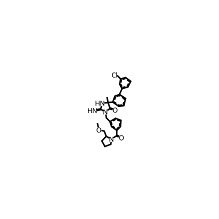 COCC1CCCN1C(=O)c1cccc(CN2C(=N)NC(C)(c3cccc(-c4cccc(Cl)c4)c3)C2=O)c1